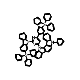 c1ccc(-n2c3ccccc3c3c2ccc2c4ccccc4n(-c4cc(-c5ccc(S(c6ccccc6)(c6ccccc6)c6ccccc6)cc5)nc(-n5c6ccccc6c6ccc(S(c7ccccc7)(c7ccccc7)c7ccccc7)cc65)n4)c23)cc1